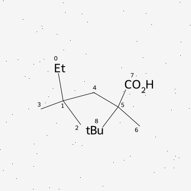 CCC(C)(C)CC(C)(C(=O)O)C(C)(C)C